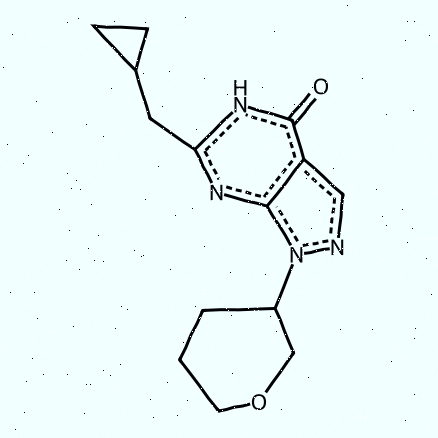 O=c1[nH]c(CC2CC2)nc2c1cnn2C1CCCOC1